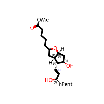 CCCCC[C@H](O)/C=C/[C@@H]1[C@H]2CC(CCCCC(=O)OC)O[C@H]2C[C@H]1O